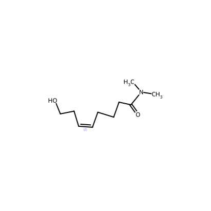 CN(C)C(=O)CCC/C=C\CCO